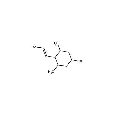 CC(=O)/C=C/C1C(C)CC(O)CC1C